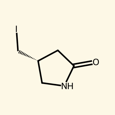 O=C1C[C@@H](CI)CN1